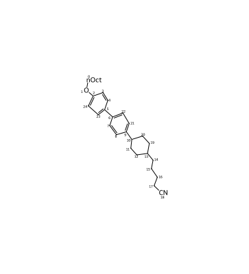 CCCCCCCCOc1ccc(-c2ccc(C3CCC(CCCCC#N)CC3)cc2)cc1